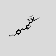 CCCCCCc1ccc(CCc2cc(CCC(N)(CO)CO)on2)cc1